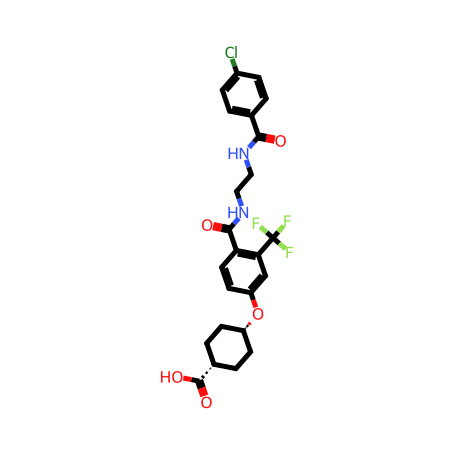 O=C(NCCNC(=O)c1ccc(O[C@H]2CC[C@@H](C(=O)O)CC2)cc1C(F)(F)F)c1ccc(Cl)cc1